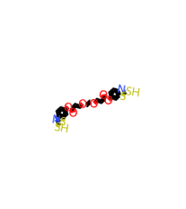 O=C(CCOCCOCCC(=O)Oc1ccc2nc(S)sc2c1)Oc1ccc2nc(S)sc2c1